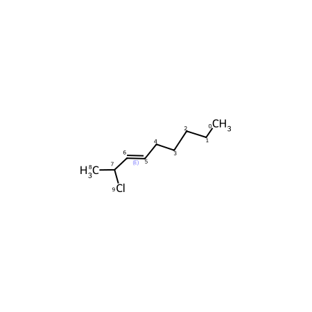 CCCCC/C=C/C(C)Cl